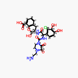 NCCN1CCN(C(=O)N[C@@H](C(=O)N[C@H]2Cc3cccc(C(=O)O)c3OB2O)c2ccc(O)c(O)c2Cl)C(=O)C1=O